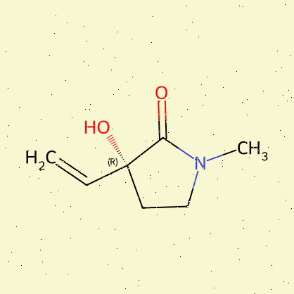 C=C[C@]1(O)CCN(C)C1=O